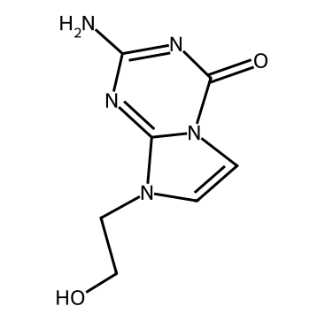 Nc1nc(=O)n2ccn(CCO)c2n1